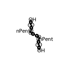 CCCCCC(Oc1ccc(-c2ccc(OC(CCCCC)Oc3ccc(S(=O)(=O)c4ccc(O)cc4)cc3)cc2)cc1)Oc1ccc(S(=O)(=O)c2ccc(O)cc2)cc1